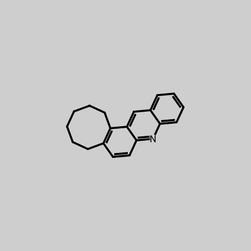 c1ccc2nc3ccc4c(c3cc2c1)CCCCCC4